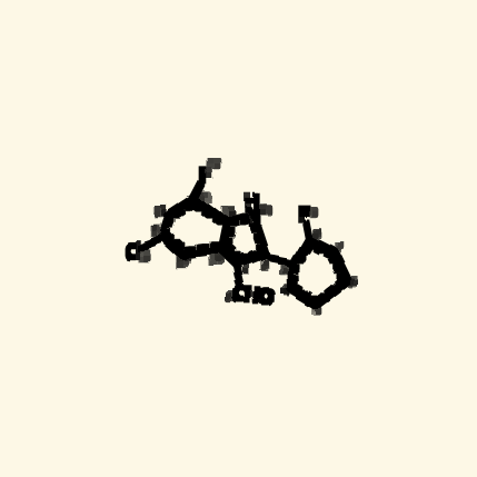 O=Cc1c(-c2ccccc2F)[nH]c2c(F)cc(Cl)cc12